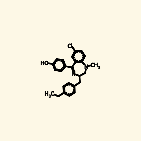 CCc1ccc(CC2CN(C)c3ccc(Cl)cc3C(c3ccc(O)cc3)=N2)cc1